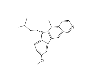 COc1ccc2c(c1)c1cc3cnccc3c(C)c1n2CCC(C)C